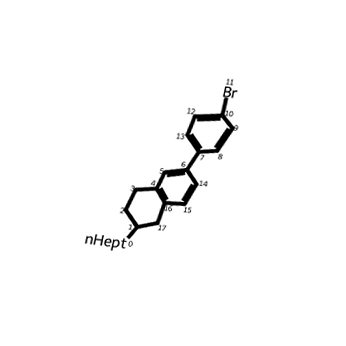 CCCCCCCC1CCc2cc(-c3ccc(Br)cc3)ccc2C1